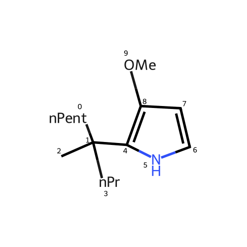 CCCCCC(C)(CCC)c1[nH]ccc1OC